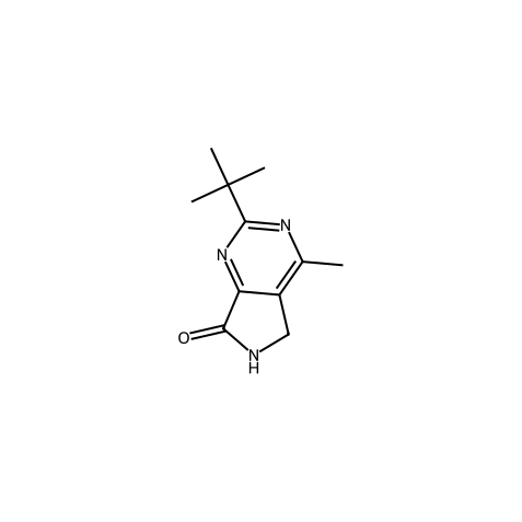 Cc1nc(C(C)(C)C)nc2c1CNC2=O